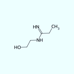 CCC(=N)NCCO